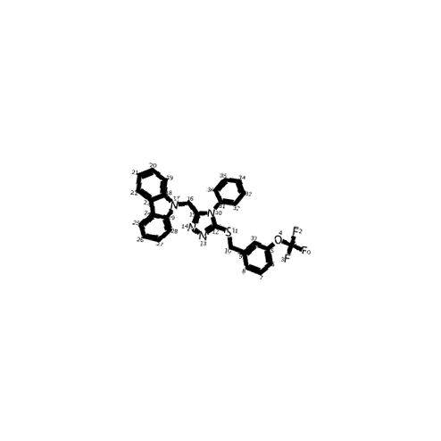 FC(F)(F)Oc1cccc(CSc2nnc(Cn3c4ccccc4c4ccccc43)n2-c2ccccc2)c1